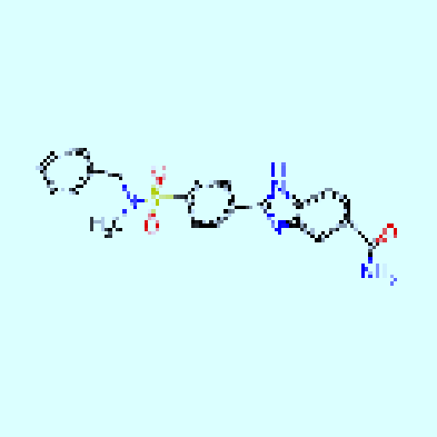 CN(Cc1ccccc1)S(=O)(=O)c1ccc(-c2nc3cc(C(N)=O)ccc3[nH]2)cc1